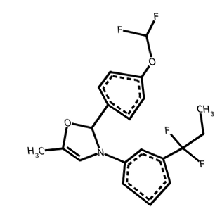 CCC(F)(F)c1cccc(N2C=C(C)OC2c2ccc(OC(F)F)cc2)c1